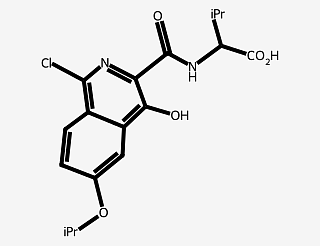 CC(C)Oc1ccc2c(Cl)nc(C(=O)NC(C(=O)O)C(C)C)c(O)c2c1